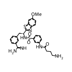 COc1ccc2nc([C@H](Cc3cccc(C(=N)N)c3)NS(=O)(=O)c3cccc(NC(=O)CCCN)c3)sc2c1